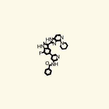 O=C(Nc1cncc(-c2cc(F)c3[nH]nc(-c4nc5c(N6CCCCC6)nccc5[nH]4)c3c2)c1)c1ccccc1